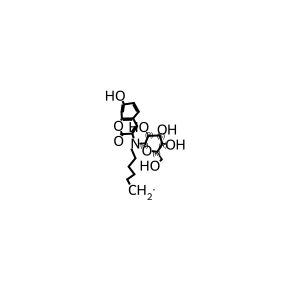 [CH2]CCCCCN(c1cc2ccc(O)cc2oc1=O)[C@@H]1O[C@H](CO)[C@H](O)[C@H](O)[C@H]1O